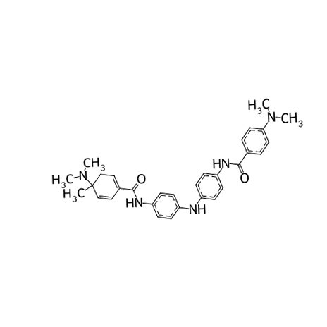 CN(C)c1ccc(C(=O)Nc2ccc(Nc3ccc(NC(=O)C4=CCC(C)(N(C)C)C=C4)cc3)cc2)cc1